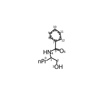 CCCC(CO)NC(=O)c1[c]cccc1